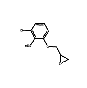 CCCCc1c(S)cccc1OCC1CO1